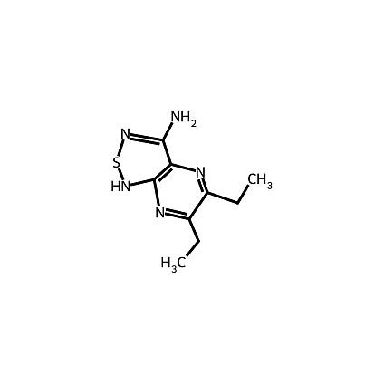 CCc1nc2c(nc1CC)C(N)=NSN2